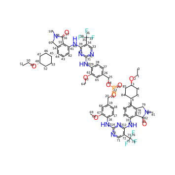 CCO[C@H]1CC[C@@H](c2ccc(Nc3nc(Nc4ccc(CO[PH](=O)OCc5ccc(Nc6ncc(C(F)(F)F)c(Nc7ccc([C@H]8CC[C@@H](OCC)CC8)c8c7C(=O)N(C)C8)n6)c(OC)c5)cc4OC)ncc3C(F)(F)F)c3c2CN(C)C3=O)CC1